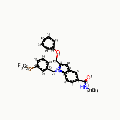 CCCCNC(=O)c1ccc2c(c1)cc(COc1ccccc1)n2Cc1cccc(SC(F)(F)F)c1